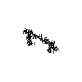 CCN1CCCc2cc3c(cc21)Oc1cc2c(cc1=N3)C(CS(=O)(=O)[O-])CC(C)(C)[N+]=2CCCC(=O)NCCCCCCOc1ccc(Cc2nc3c(Cc4ccccc4)[nH]c(-c4ccccc4)cn-3c2=O)cc1F